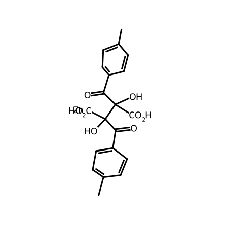 Cc1ccc(C(=O)C(O)(C(=O)O)C(O)(C(=O)O)C(=O)c2ccc(C)cc2)cc1.[Zn]